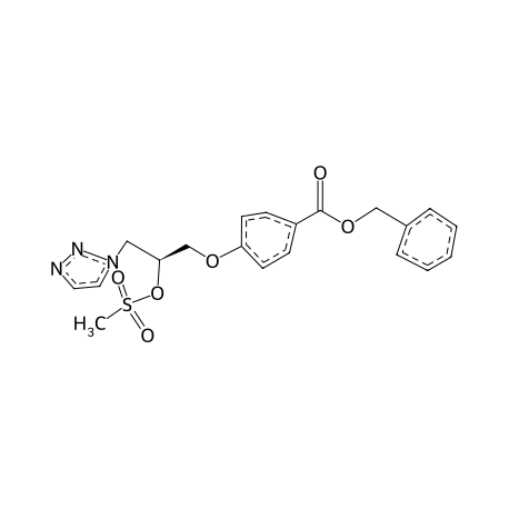 CS(=O)(=O)O[C@H](COc1ccc(C(=O)OCc2ccccc2)cc1)Cn1ccnn1